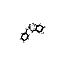 CCCN(Cc1ccccc1)Cc1ccccc1